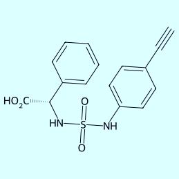 C#Cc1ccc(NS(=O)(=O)N[C@H](C(=O)O)c2ccccc2)cc1